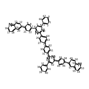 c1ccc(-c2cc(-c3ccc(-c4ccc5ncccc5c4)cc3)nc(-c3ccc(-c4ccc(-c5nc(-c6ccccc6)cc(-c6ccc(-c7ccc8ncccc8c7)cc6)n5)cc4)cc3)n2)cc1